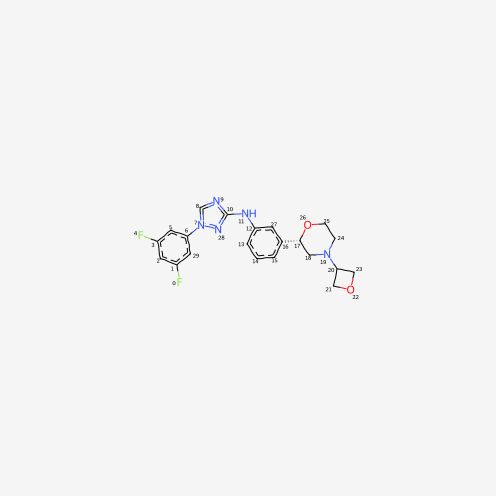 Fc1cc(F)cc(-n2cnc(Nc3cccc([C@H]4CN(C5COC5)CCO4)c3)n2)c1